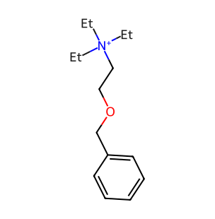 CC[N+](CC)(CC)CCOCc1ccccc1